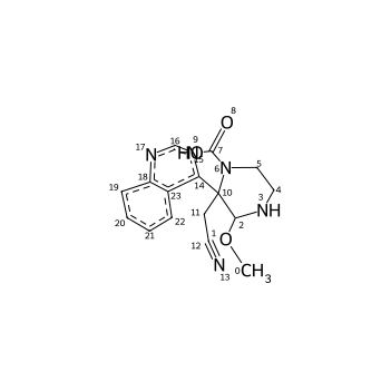 COC1NCCN(C(=O)O)C1(CC#N)c1ncnc2ccccc12